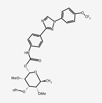 CCCO[C@@H]1[C@H](OC)[C@H](OC(=O)Nc2ccc(-c3ncn(-c4ccc(OC(F)(F)F)cc4)n3)cc2)O[C@@H](C)[C@@H]1OC